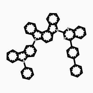 c1ccc(-c2ccc(-c3nc(-n4c5ccccc5c5c6c7ccccc7n(-c7ccc8c(c7)c7ccccc7n8-c7ccccc7)c6ccc54)nc4ccccc34)cc2)cc1